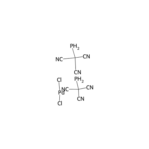 N#CC(P)(C#N)C#N.N#CC(P)(C#N)C#N.[Cl][Pd][Cl]